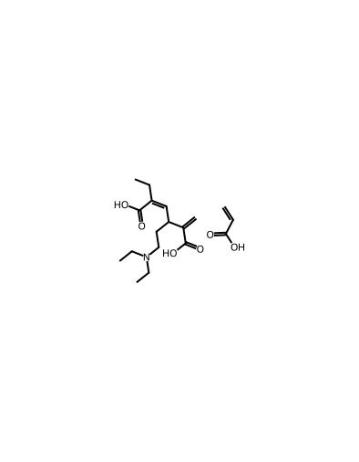 C=C(C(=O)O)C(C=C(CC)C(=O)O)CCN(CC)CC.C=CC(=O)O